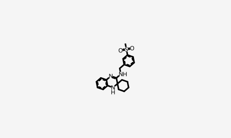 CS(=O)(=O)c1cccc(CNC2=Nc3ccccc3NC23CCCCC3)c1